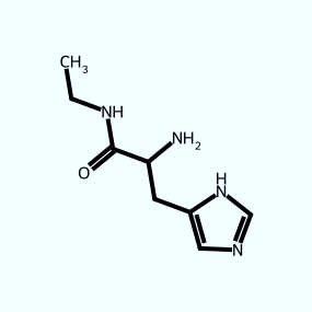 CCNC(=O)C(N)Cc1cnc[nH]1